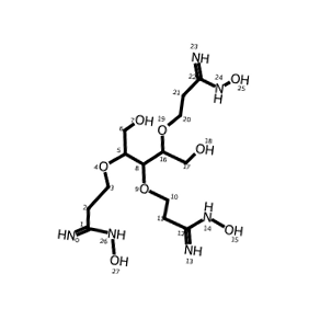 N=C(CCOC(CO)C(OCCC(=N)NO)C(CO)OCCC(=N)NO)NO